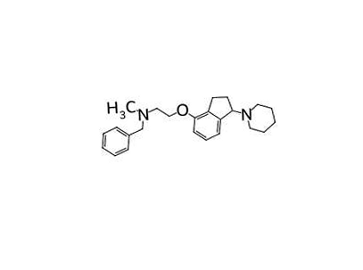 CN(CCOc1cccc2c1CCC2N1CCCCC1)Cc1ccccc1